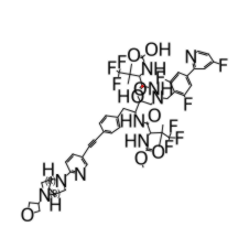 COC(=O)NC(C(=O)NC(Cc1ccc(C#Cc2ccc(N3C[C@H]4C[C@@H]3CN4C3COC3)nc2)cc1)C(O)CN(Cc1c(F)cc(-c2cc(F)ccn2)cc1F)NC(=O)C(NC(=O)O)C(C)(C)C(F)(F)F)C(C)(C)C(F)(F)F